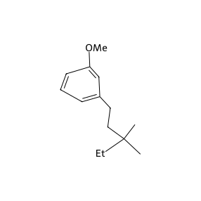 CCC(C)(C)CCc1cccc(OC)c1